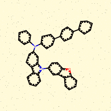 c1ccc(-c2ccc(-c3ccc(N(c4ccccc4)c4ccc5c6ccccc6n(-c6ccc7oc8ccccc8c7c6)c5c4)cc3)cc2)cc1